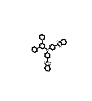 c1ccc(-c2cc(-c3ccccc3)cc(N(c3ccc(-c4nc5ccccc5o4)cc3)c3ccc(-c4nc5ccccc5o4)cc3)c2)cc1